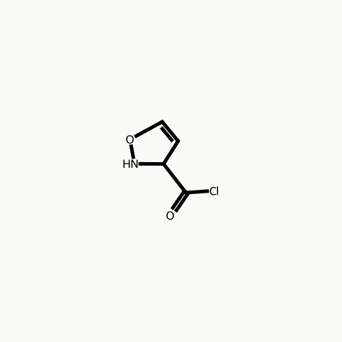 O=C(Cl)C1C=CON1